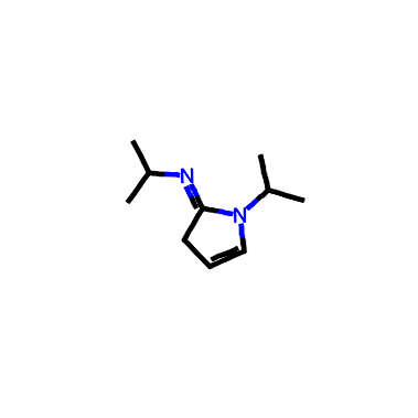 CC(C)/N=C1\CC=CN1C(C)C